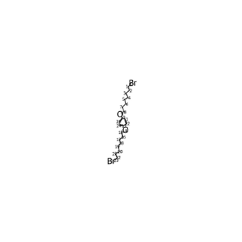 BrCCCCCCCCOc1ccc(OCCCCCCCCBr)cc1